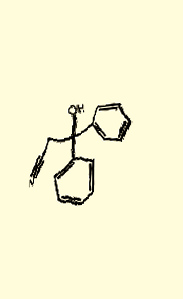 N#CCC(O)(c1ccccc1)c1ccccc1